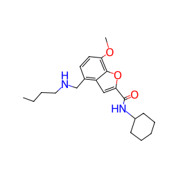 CCCCNCc1ccc(OC)c2oc(C(=O)NC3CCCCC3)cc12